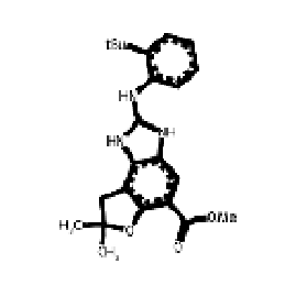 COC(=O)c1cc2c(c3c1OC(C)(C)C3)NC(Nc1ccccc1C(C)(C)C)N2